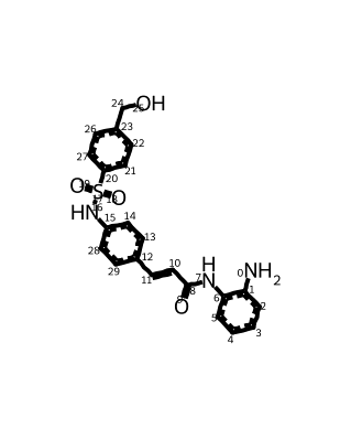 Nc1ccccc1NC(=O)/C=C/c1ccc(NS(=O)(=O)c2ccc(CO)cc2)cc1